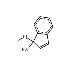 C[C]1([Hf][F])C=Cc2ccccc21